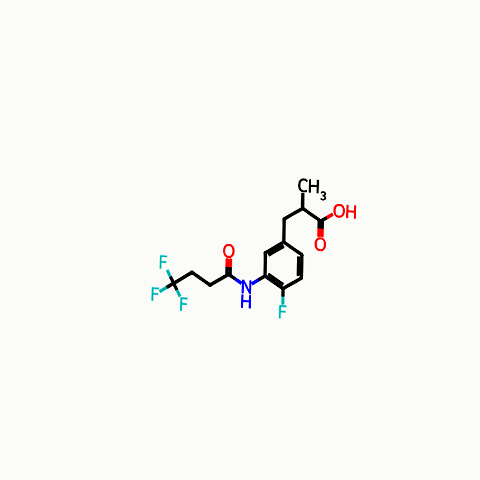 CC(Cc1ccc(F)c(NC(=O)CCC(F)(F)F)c1)C(=O)O